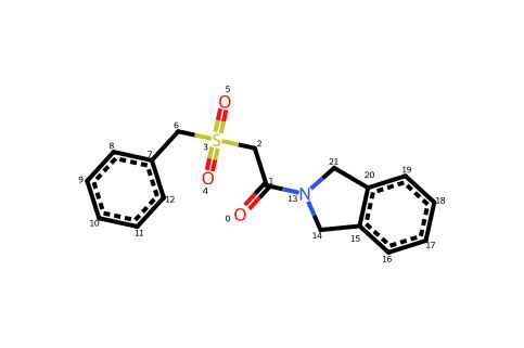 O=C(CS(=O)(=O)Cc1ccccc1)N1Cc2ccccc2C1